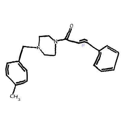 Cc1ccc(CN2CCN(C(=O)/C=C/c3ccccc3)CC2)cc1